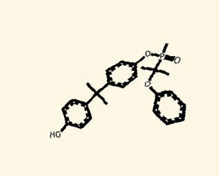 CC(C)(c1ccc(O)cc1)c1ccc(OP(C)(=O)C(C)(C)Oc2ccccc2)cc1